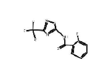 O=C(Nc1nc(C(Cl)(Cl)Cl)ns1)c1ccccc1F